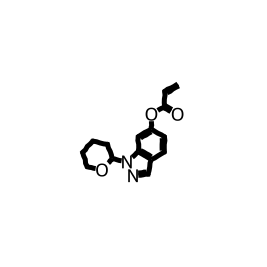 C=CC(=O)Oc1ccc2cnn(C3CCCCO3)c2c1